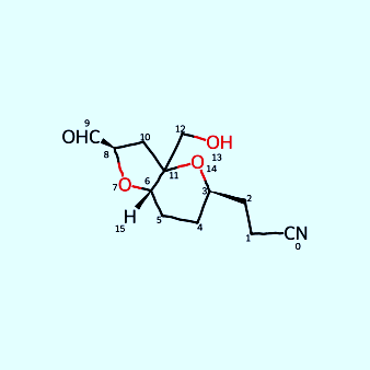 N#CCC[C@H]1CC[C@@H]2O[C@@H](C=O)CC2(CO)O1